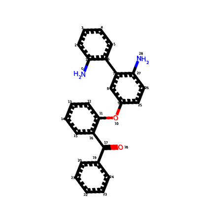 Nc1ccccc1-c1cc(Oc2ccccc2C(=O)c2ccccc2)ccc1N